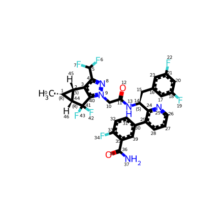 C[C@@H]1[C@@H]2c3c(C(F)F)nn(CC(=O)N[C@@H](Cc4cc(F)cc(F)c4)c4ncccc4-c4ccc(F)c(C(N)=O)c4)c3C(F)(F)[C@H]12